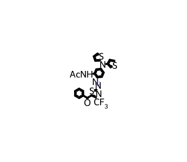 CC(=O)Nc1cc(N(c2ccsc2)c2cccs2)ccc1/N=N/c1nc(C(F)(F)F)c(C(=O)c2ccccc2)s1